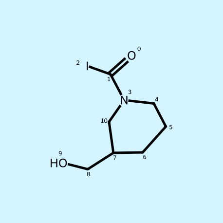 O=C(I)N1CCCC(CO)C1